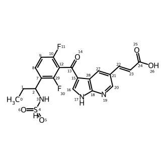 CCC(N[SH](=O)=O)c1ccc(F)c(C(=O)c2c[nH]c3ncc(C=CC(=O)O)cc23)c1F